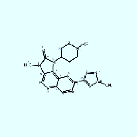 CC(=O)N1CCC(n2c(=O)n(C)c3cnc4ccc(-c5cnn(C)c5)nc4c32)CC1